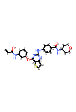 C=CC(=O)Nc1cccc(Oc2nc(Nc3ccc(C(=O)NC4CCOCC4)cc3)nc3ccsc23)c1